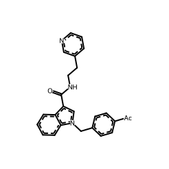 CC(=O)c1ccc(Cn2cc(C(=O)NCCc3cccnc3)c3ccccc32)cc1